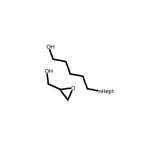 CCCCCCCCCCCCO.OCC1CO1